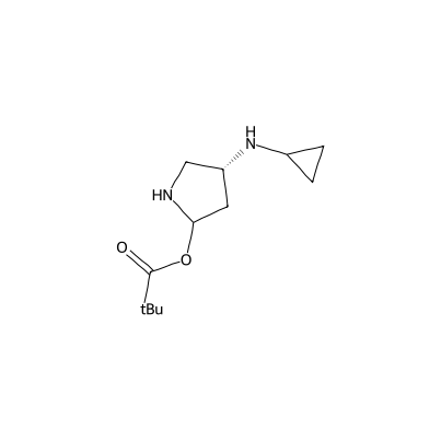 CC(C)(C)C(=O)OC1C[C@@H](NC2CC2)CN1